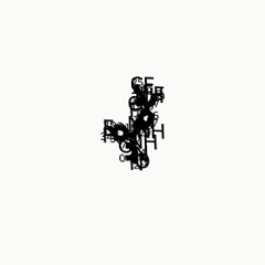 Cc1nonc1C(=O)N[C@H](c1nc2c(F)c(C(CC(F)F)C(=O)NCC(F)(F)F)ccc2[nH]1)C1CCC(F)(F)CC1